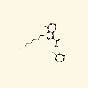 CCCCCCn1cc(C(=O)C(=O)Nc2c(Cl)cncc2Cl)c2cccc(O)c21